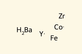 [BaH2].[Co].[Fe].[Y].[Zr]